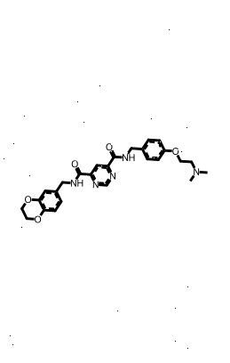 CN(C)CCOc1ccc(CNC(=O)c2cc(C(=O)NCc3ccc4c(c3)OCCO4)ncn2)cc1